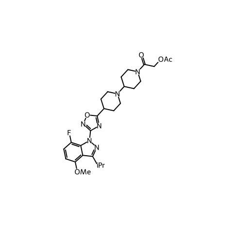 COc1ccc(F)c2c1c(C(C)C)nn2-c1noc(C2CCN(C3CCN(C(=O)COC(C)=O)CC3)CC2)n1